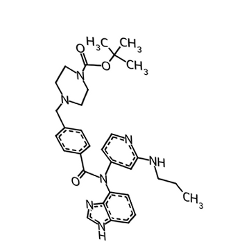 CCCNc1cc(N(C(=O)c2ccc(CN3CCN(C(=O)OC(C)(C)C)CC3)cc2)c2cccc3[nH]cnc23)ccn1